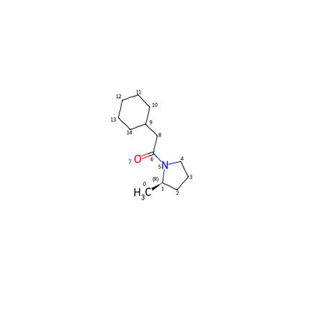 C[C@@H]1CCCN1C(=O)CC1CCCCC1